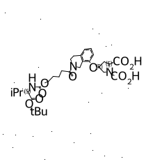 CC(C)[C@H](NC(=O)OCCCCC(=O)N1CCc2cccc(O[C@@H]3C[C@@H](C(=O)O)N(C(=O)O)C3)c2C1)C(=O)OC(C)(C)C